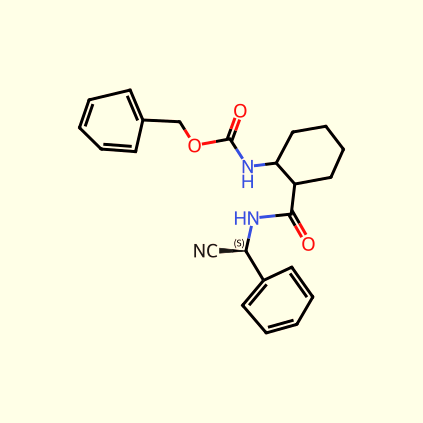 N#C[C@@H](NC(=O)C1CCCCC1NC(=O)OCc1ccccc1)c1ccccc1